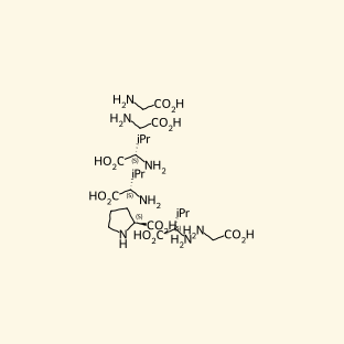 CC(C)[C@H](N)C(=O)O.CC(C)[C@H](N)C(=O)O.CC(C)[C@H](N)C(=O)O.NCC(=O)O.NCC(=O)O.NCC(=O)O.O=C(O)[C@@H]1CCCN1